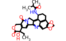 CC[C@@]1(O)C(=O)OCc2c1cc1n(c2=O)Cc2c-1nc1cc3c(c4c1c2[C@@H](NC(=O)C(C)C)CC4)OCO3